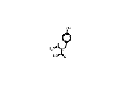 O=C(O)[C@H](Cc1ccc(O)cc1)NP